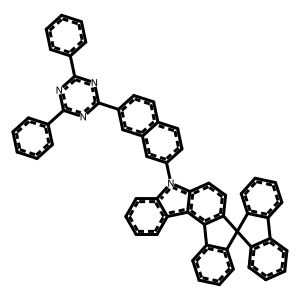 c1ccc(-c2nc(-c3ccccc3)nc(-c3ccc4ccc(-n5c6ccccc6c6c7c(ccc65)C5(c6ccccc6-c6ccccc65)c5ccccc5-7)cc4c3)n2)cc1